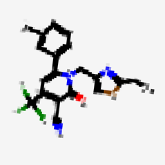 CCc1nc(Cn2c(-c3cccc(C)c3)cc(C(F)(F)F)c(C#N)c2=O)cs1